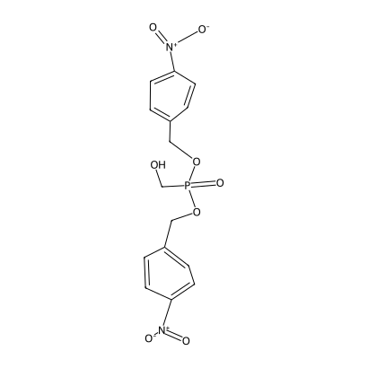 O=[N+]([O-])c1ccc(COP(=O)(CO)OCc2ccc([N+](=O)[O-])cc2)cc1